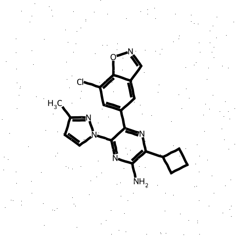 Cc1ccn(-c2nc(N)c(C3CCC3)nc2-c2cc(Cl)c3oncc3c2)n1